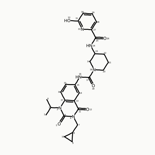 CC(C)n1c(=O)n(CC2CC2)c(=O)c2cc(NC(=O)N3CCCC(NC(=O)c4cccc(O)n4)C3)ccc21